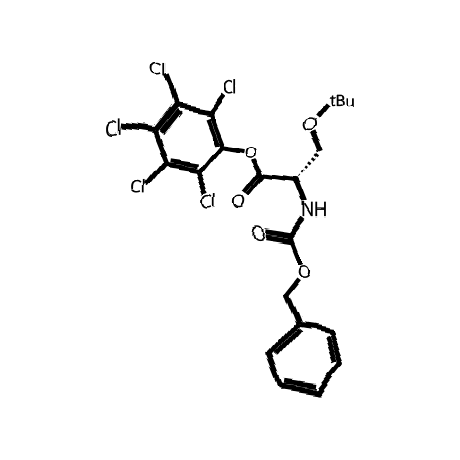 CC(C)(C)OC[C@H](NC(=O)OCc1ccccc1)C(=O)Oc1c(Cl)c(Cl)c(Cl)c(Cl)c1Cl